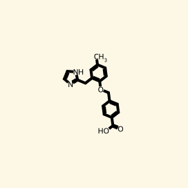 Cc1ccc(OCc2ccc(C(=O)O)cc2)c(Cc2ncc[nH]2)c1